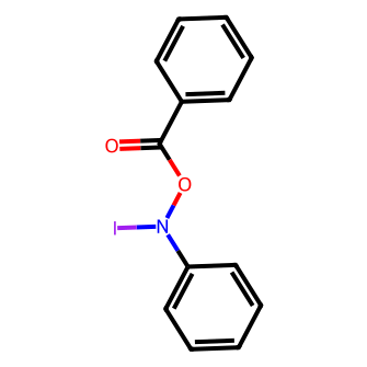 O=C(ON(I)c1ccccc1)c1ccccc1